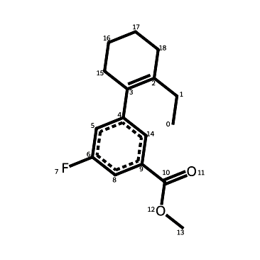 CCC1=C(c2cc(F)cc(C(=O)OC)c2)CCCC1